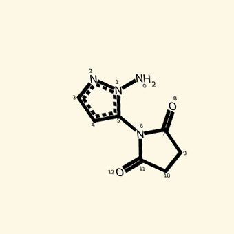 Nn1nccc1N1C(=O)CCC1=O